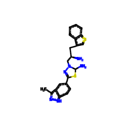 Cc1n[nH]c2ccc(C3=NN(C[C@H](N)Cc4csc5ccccc45)C(N)S3)cc12